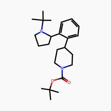 CC(C)(C)OC(=O)N1CCC(c2ccccc2C2CCCN2C(C)(C)C)CC1